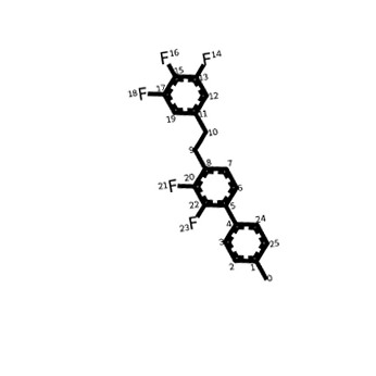 Cc1ccc(-c2ccc(CCc3cc(F)c(F)c(F)c3)c(F)c2F)cc1